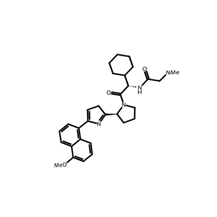 CNCC(=O)N[C@H](C(=O)N1CCC[C@H]1C1=NC(c2cccc3c(OC)cccc23)=CC1)C1CCCCC1